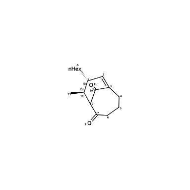 CCCCCC[C@@H]1C=C2CCCC(=O)C(C2=O)[C@H]1C